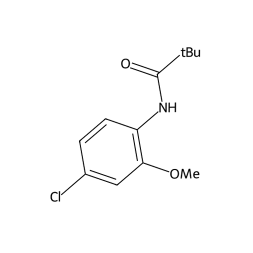 COc1cc(Cl)ccc1NC(=O)C(C)(C)C